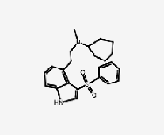 CN(CCc1cccc2[nH]cc(S(=O)(=O)c3ccccc3)c12)C1CCCCC1